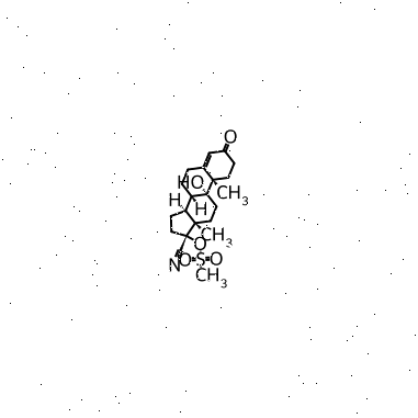 C[C@]12CCC(=O)C=C1CC[C@H]1[C@@H]3CC[C@@](C#N)(OS(C)(=O)=O)[C@@]3(C)CC[C@@]12O